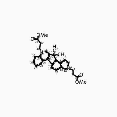 COC(=O)CC[n+]1ccc2c3c(ccc2c1)-c1c(c[n+](CCC(=O)OC)c2ccccc12)C3(C)C